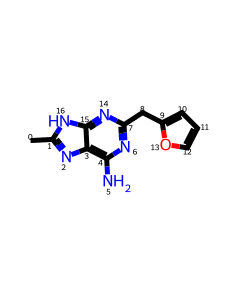 Cc1nc2c(N)nc(Cc3ccco3)nc2[nH]1